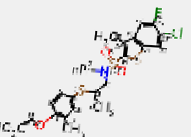 CCCN(C[C@@H](C)Sc1ccc(OCC(=O)O)c(C)c1)S(=O)(=O)c1sc2cc(Cl)c(F)cc2c1C